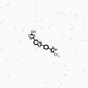 Cn1nc(-c2ccc(-c3cn4cc(-c5noc(O)n5)ccc4n3)cc2)cc1C(F)(F)F